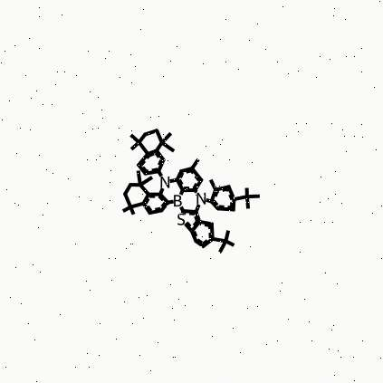 Cc1cc2c3c(c1)N(c1ccc(C(C)(C)C)cc1C)c1c(sc4ccc(C(C)(C)C)cc14)B3c1ccc3c(c1N2c1ccc2c(c1)C(C)(C)CCC2(C)C)C(C)(C)CCC3(C)C